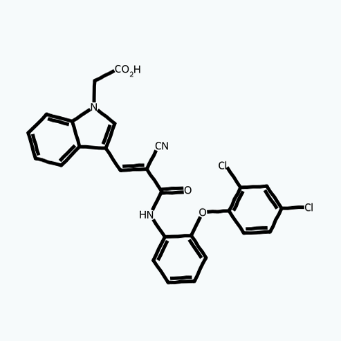 N#C/C(=C\c1cn(CC(=O)O)c2ccccc12)C(=O)Nc1ccccc1Oc1ccc(Cl)cc1Cl